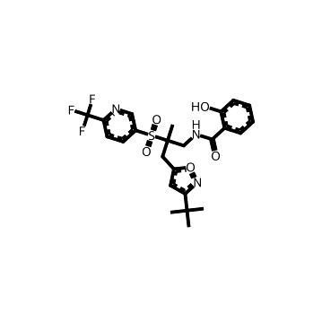 CC(C)(C)c1cc(CC(C)(CNC(=O)c2ccccc2O)S(=O)(=O)c2ccc(C(F)(F)F)nc2)on1